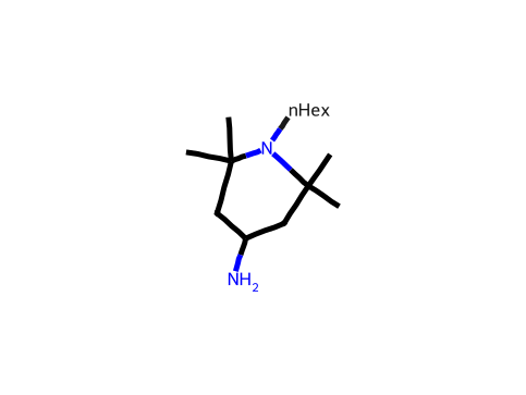 CCCCCCN1C(C)(C)CC(N)CC1(C)C